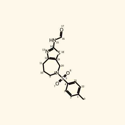 Cc1ccc(S(=O)(=O)N2CCCc3nc(NC=O)sc3C2)cc1